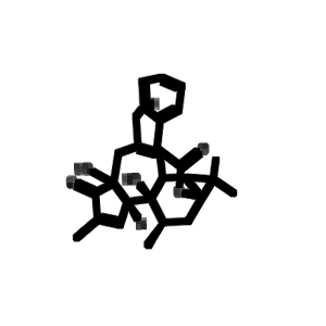 CC1=C[C@@H]2C(O)(CC(CO)=CC3C4C(C)(C)[C@]4(OC(=O)Cc4ccccc4)C[C@@H](C)[C@@]32O)C1=O